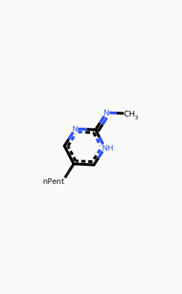 CCCCCc1cnc(=NC)[nH]c1